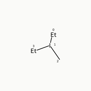 CCI(C)CC